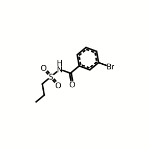 CCCS(=O)(=O)NC(=O)c1cccc(Br)c1